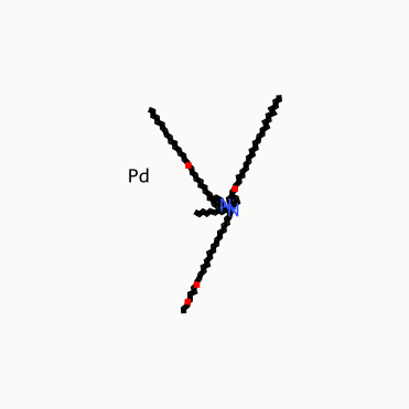 CCCCCCCCCCCCCCCCCCCCCCCCCCCC=CC(=Nc1ccc(C=CCCCCCCCCCCCCCCCCCCCCCCCCCCC)cc1)C(CCCCCCCC)=Nc1ccc(C=CCCCCCCCCCCCCCCCCCCCCCCCCCCC)cc1.[Pd]